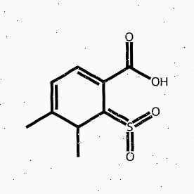 CC1=CC=C(C(=O)O)C(=S(=O)=O)C1C